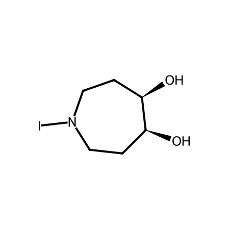 O[C@@H]1CCN(I)CC[C@@H]1O